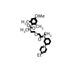 CCN1CCN([C@@H]2CCC[C@@H](N(C)C(=O)COCCN(C)S(=O)(=O)c3c(C)cc(OC)cc3C)C2)CC1